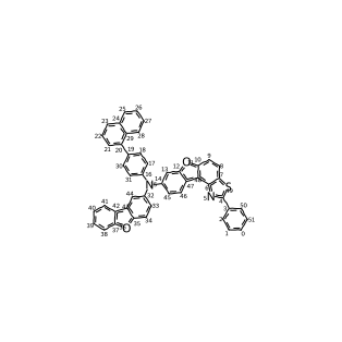 c1ccc(-c2nc3c(ccc4oc5cc(N(c6ccc(-c7cccc8ccccc78)cc6)c6ccc7oc8ccccc8c7c6)ccc5c43)s2)cc1